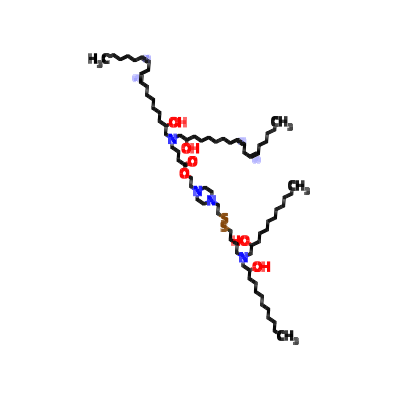 CCCCC/C=C\C/C=C\CCCCCCC(O)CN(CCCC(=O)OCCN1CCN(CCSSCCCCN(CC(O)CCCCCCCCCC)CC(O)CCCCCCCCCC)CC1)CC(O)CCCCCC/C=C\C/C=C\CCCCC